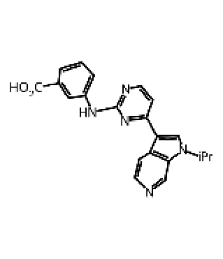 CC(C)n1cc(-c2ccnc(Nc3cccc(C(=O)O)c3)n2)c2ccncc21